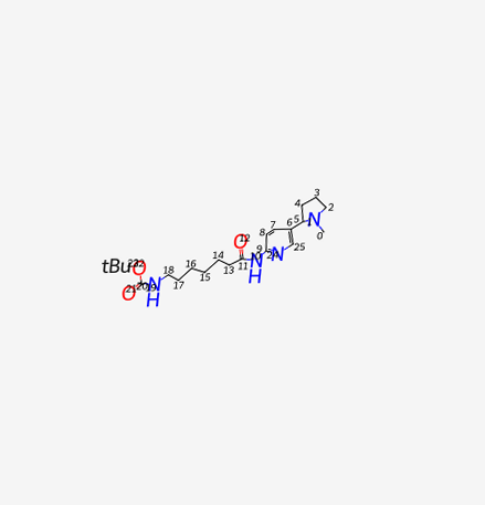 CN1CCCC1c1ccc(NC(=O)CCCCCCNC(=O)OC(C)(C)C)nc1